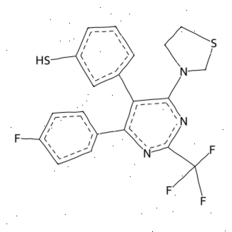 Fc1ccc(-c2nc(C(F)(F)F)nc(N3CCSC3)c2-c2cccc(S)c2)cc1